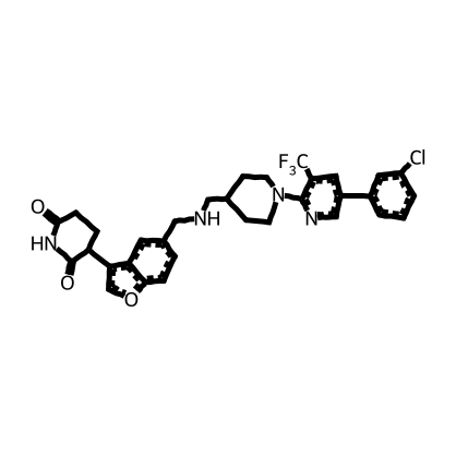 O=C1CCC(c2coc3ccc(CNCC4CCN(c5ncc(-c6cccc(Cl)c6)cc5C(F)(F)F)CC4)cc23)C(=O)N1